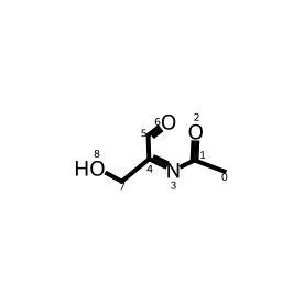 CC(=O)/N=C(\C=O)CO